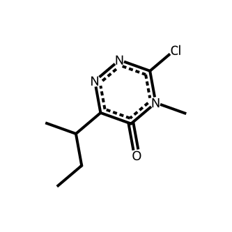 CCC(C)c1nnc(Cl)n(C)c1=O